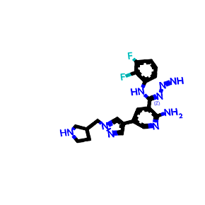 N=N/N=C(\Nc1cccc(F)c1F)c1cc(-c2cnn(CC3CCNC3)c2)cnc1N